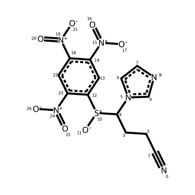 N#CCCC(n1ccnc1)[S+]([O-])c1cc([N+](=O)[O-])c([N+](=O)[O-])cc1[N+](=O)[O-]